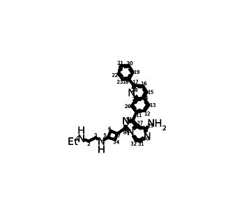 CCNCCNC1CC(c2nc(-c3ccc4ccc(-c5ccccc5)nc4c3)c3c(N)nccn23)C1